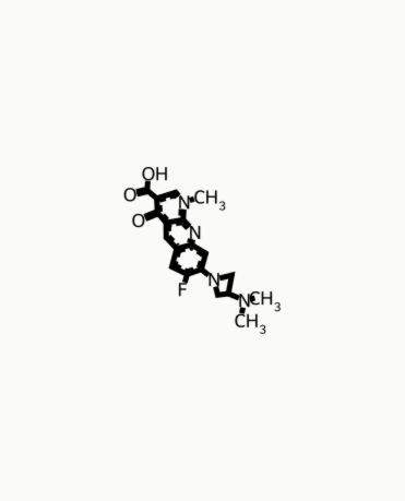 CN(C)C1CN(c2cc3nc4c(cc3cc2F)c(=O)c(C(=O)O)cn4C)C1